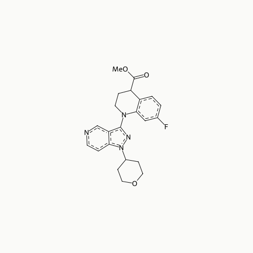 COC(=O)C1CCN(c2nn(C3CCOCC3)c3ccncc23)c2cc(F)ccc21